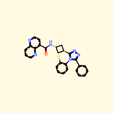 O=C(N[C@H]1C[C@H](c2nnc(-c3ccccc3)n2-c2ccccc2F)C1)c1ccnc2cccnc12